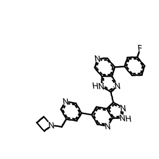 Fc1cccc(-c2cncc3[nH]c(-c4n[nH]c5ncc(-c6cncc(CN7CCC7)c6)cc45)nc23)c1